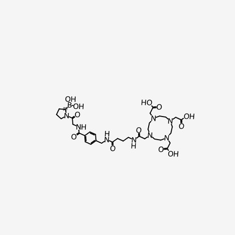 O=C(O)CN1CCN(CC(=O)O)CCN(CC(=O)NCCCC(=O)NCc2ccc(C(=O)NCC(=O)N3CCC[C@H]3B(O)O)cc2)CCN(CC(=O)O)CC1